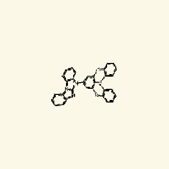 c1ccc2c(c1)Oc1cc(-n3c4ccccc4n4c5ccccc5nc34)cc3c1B2c1ccccc1O3